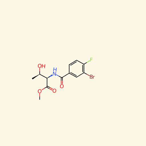 COC(=O)[C@H](NC(=O)c1ccc(F)c(Br)c1)[C@@H](C)O